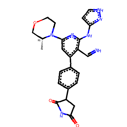 C[C@@H]1COCCN1c1cc(-c2ccc(C3CC(=O)NC3=O)cc2)c(C=N)c(Nc2cc[nH]n2)n1